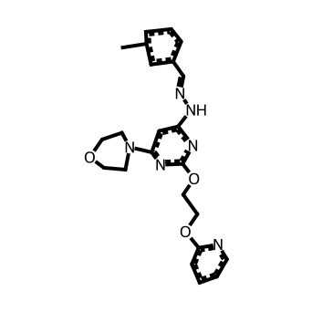 Cc1cccc(C=NNc2cc(N3CCOCC3)nc(OCCOc3ccccn3)n2)c1